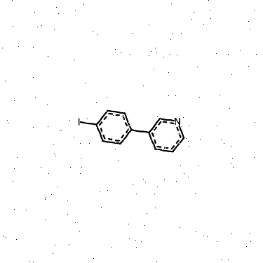 Ic1ccc(-c2cccnc2)cc1